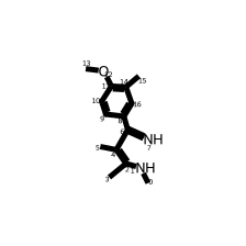 CN/C(C)=C(/C)C(=N)c1ccc(OC)c(C)c1